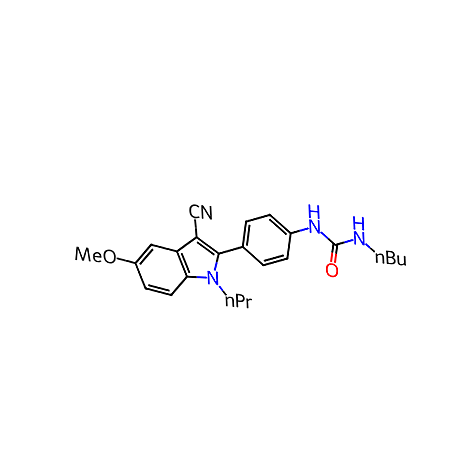 CCCCNC(=O)Nc1ccc(-c2c(C#N)c3cc(OC)ccc3n2CCC)cc1